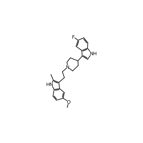 COc1ccc2[nH]c(C)c(CCN3CCC(c4c[nH]c5ccc(F)cc45)CC3)c2c1